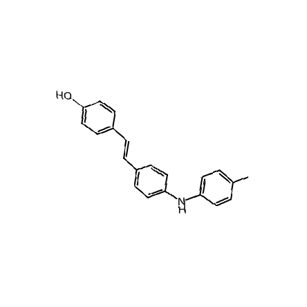 Cc1ccc(Nc2ccc(C=Cc3ccc(O)cc3)cc2)cc1